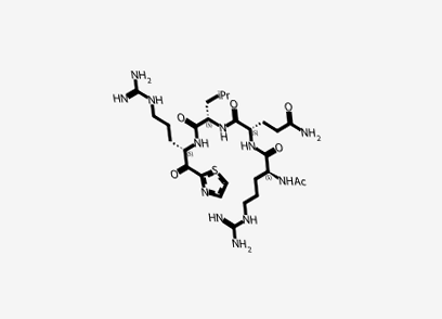 CC(=O)N[C@@H](CCCNC(=N)N)C(=O)N[C@@H](CCC(N)=O)C(=O)N[C@@H](CC(C)C)C(=O)N[C@@H](CCCNC(=N)N)C(=O)c1nccs1